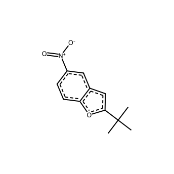 CC(C)(C)c1cc2cc([N+](=O)[O-])ccc2o1